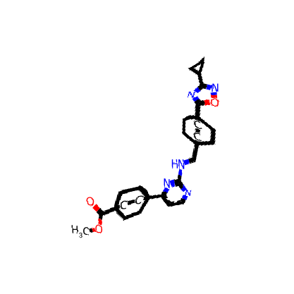 COC(=O)C12CCC(c3ccnc(NCC45CCC(c6nc(C7CC7)no6)(CC4)CC5)n3)(CC1)CC2